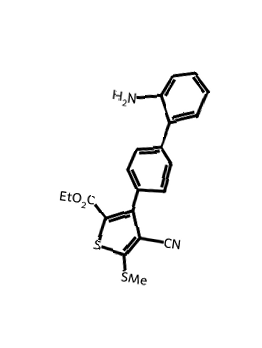 CCOC(=O)c1sc(SC)c(C#N)c1-c1ccc(-c2ccccc2N)cc1